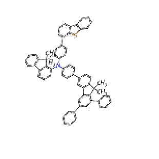 CC1(C)c2ccc(-c3ccc(N(c4ccc(-c5cccc6c5sc5ccccc56)cc4)c4cccc5c4C(C)(C)c4ccccc4-5)cc3)cc2-c2cc(-c3ccccc3)cc(-c3ccccc3)c21